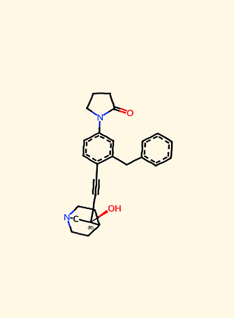 O=C1CCCN1c1ccc(C#C[C@@]2(O)CN3CCC2CC3)c(Cc2ccccc2)c1